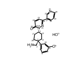 Cl.NC[C@]1(c2cccc(Cl)c2)CC[C@@H](n2nc(-c3cccnc3)ccc2=O)CC1